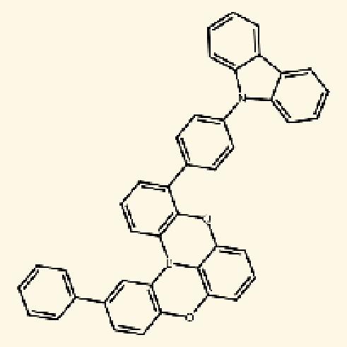 c1ccc(-c2ccc3c(c2)B2c4cccc(-c5ccc(-n6c7ccccc7c7ccccc76)cc5)c4Oc4cccc(c42)O3)cc1